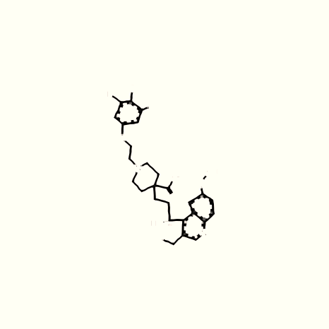 COc1ccc2ncc(CO)c([C@H](O)CCC3(C(=O)O)CCN(CCSc4cc(F)c(F)c(F)c4)CC3)c2c1